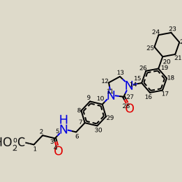 O=C(O)CCC(=O)NCc1ccc(N2CCN(c3cccc(C4CCCCC4)c3)C2=O)cc1